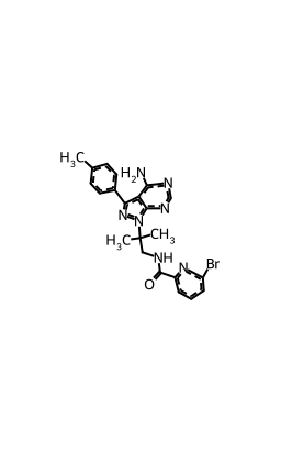 Cc1ccc(-c2nn(C(C)(C)CNC(=O)c3cccc(Br)n3)c3ncnc(N)c23)cc1